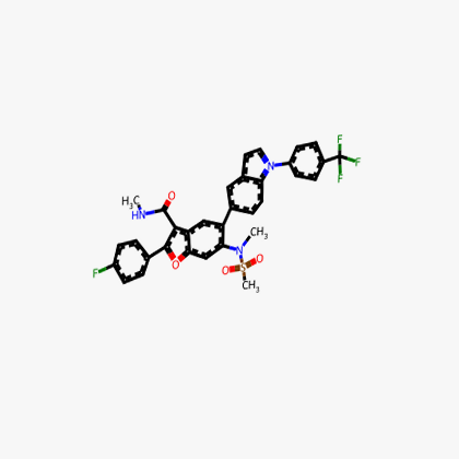 CNC(=O)c1c(-c2ccc(F)cc2)oc2cc(N(C)S(C)(=O)=O)c(-c3ccc4c(ccn4-c4ccc(C(F)(F)F)cc4)c3)cc12